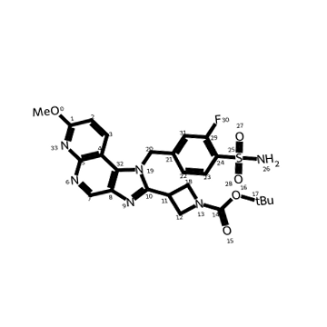 COc1ccc2c(ncc3nc(C4CN(C(=O)OC(C)(C)C)C4)n(Cc4ccc(S(N)(=O)=O)c(F)c4)c32)n1